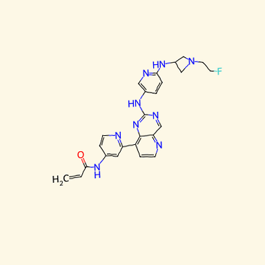 C=CC(=O)Nc1ccnc(-c2ccnc3cnc(Nc4ccc(NC5CN(CCF)C5)nc4)nc23)c1